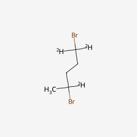 [2H]C([2H])(Br)CCC([2H])(C)Br